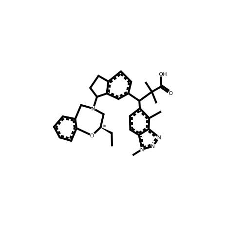 CC[C@@H]1CN(C2CCc3ccc(C(c4ccc5c(nnn5C)c4C)C(C)(C)C(=O)O)cc32)Cc2ccccc2O1